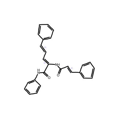 O=C(/C=C/c1ccccc1)N/C(=C\C=C\c1ccccc1)C(=O)Nc1ccccc1